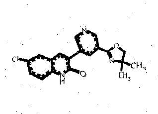 CC1(C)COC(c2cncc(-c3cc4cc(Cl)ccc4[nH]c3=O)c2)=N1